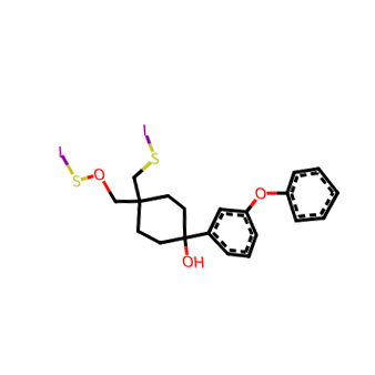 OC1(c2cccc(Oc3ccccc3)c2)CCC(COSI)(CSI)CC1